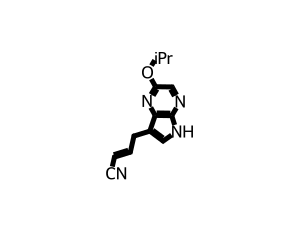 CC(C)Oc1cnc2[nH]cc(CC=CC#N)c2n1